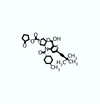 CC(C)(C)C#Cc1cc(N(C(=O)[C@H]2CC[C@H](C)CC2)[C@H]2CCN(C(=O)O[C@H]3CCCC3=O)C2)c(C(=O)O)s1